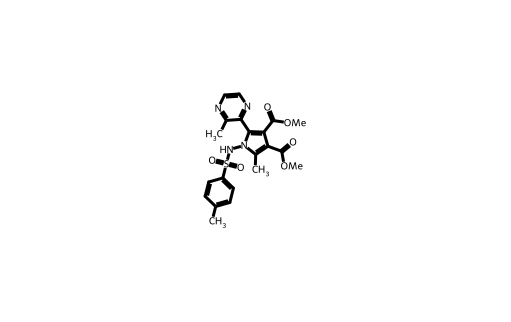 COC(=O)c1c(C(=O)OC)c(-c2nccnc2C)n(NS(=O)(=O)c2ccc(C)cc2)c1C